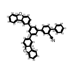 N#Cc1cc(-c2cc(-c3ccc4oc5ccccc5c4c3)cc(-c3ccc4oc5ccccc5c4c3)c2)ccc1-c1ccccc1